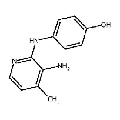 Cc1ccnc(Nc2ccc(O)cc2)c1N